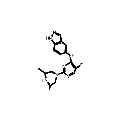 CC1CN(c2ncc(F)c(Nc3ccc4[nH]ncc4c3)n2)CC(C)N1